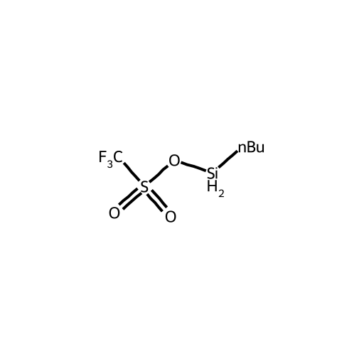 CCCC[SiH2]OS(=O)(=O)C(F)(F)F